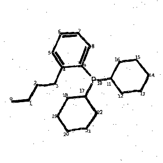 CC[CH]Cc1ccccc1P(C1CCCCC1)C1CCCCC1